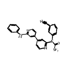 N#Cc1cccc(N(C(N)=O)c2cc(-c3ccnc(Nc4ccccc4)c3)ccn2)c1